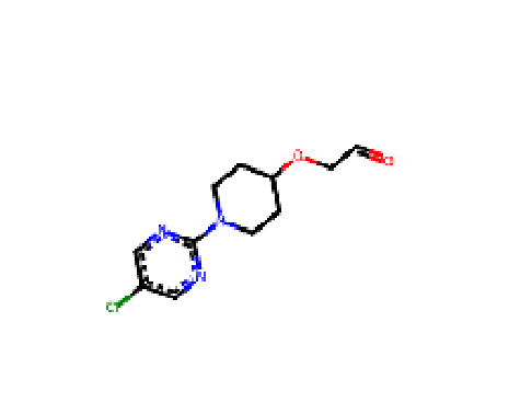 O=CCOC1CCN(c2ncc(Cl)cn2)CC1